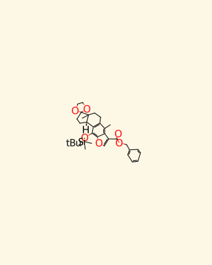 Cc1c2c(c(O[Si](C)(C)C(C)(C)C)c3occ(C(=O)OCc4ccccc4)c13)[C@@H]1CCC3(OCCO3)C1(C)CC2